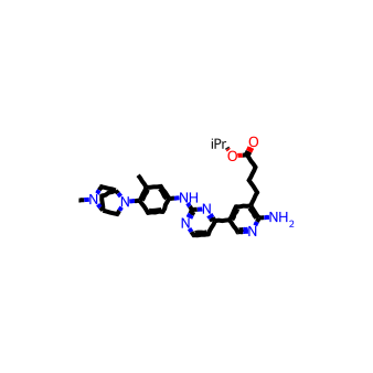 Cc1cc(Nc2nccc(-c3cnc(N)c(CCCC(=O)OC(C)C)c3)n2)ccc1N1CC2CC1CN2C